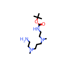 CN(CCN)CCCN(C)CCNC(=O)OC(C)(C)C